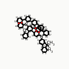 CC1(C)c2ccccc2-c2ccc(N(c3ccc4c(c3)C3(c5ccccc5-c5ccccc53)c3cc(N(c5ccccc5)c5ccccc5-c5ccccc5)c5oc6ccccc6c5c3-4)c3ccccc3-c3ccccc3)cc21